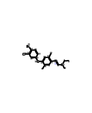 CCN(C)/C=N/c1cc(C)c(Oc2ccc(Br)c(Cl)c2)cc1C